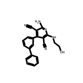 N#Cc1c(N)nc(NCCO)c(C#N)c1-c1cccc(-c2ccccc2)c1